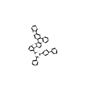 C1=CC2c3c(cccc3-c3nc(-c4ccccc4)nc(-c4ccc(-c5ccccc5)cc4)n3)OC2C(c2cc3sc4ccccc4c3cc2-c2ccccc2)=C1